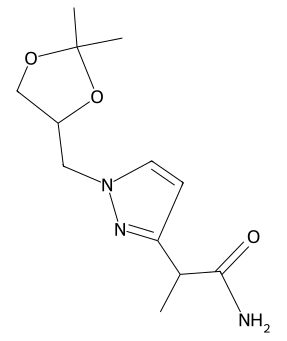 CC(C(N)=O)c1ccn(CC2COC(C)(C)O2)n1